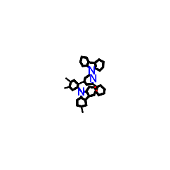 Cc1ccc2c(c1)c1ccccc1n2-c1cc(C)c(C)cc1-c1cc(-c2ccccc2)nc(-n2c3ccccc3c3ccccc32)c1